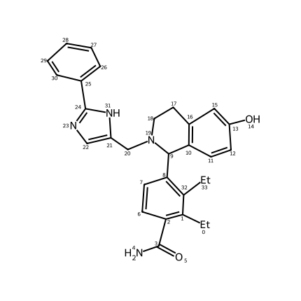 CCc1c(C(N)=O)ccc(C2c3ccc(O)cc3CCN2Cc2cnc(-c3ccccc3)[nH]2)c1CC